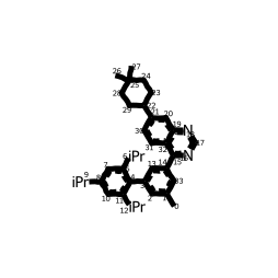 Cc1cc(-c2c(C(C)C)cc(C(C)C)cc2C(C)C)cc(-c2ncnc3cc(C4CCC(C)(C)CC4)ccc23)c1